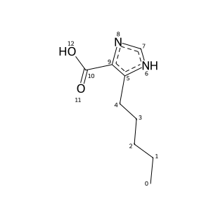 CCCCCc1[nH]cnc1C(=O)O